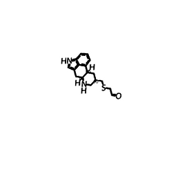 O=CCSC[C@H]1CN[C@@H]2Cc3c[nH]c4cccc(c34)[C@H]2C1